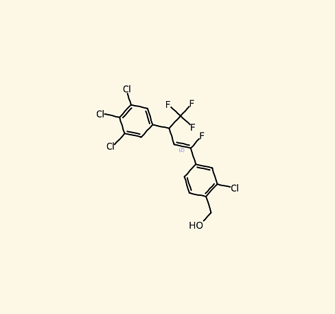 OCc1ccc(/C(F)=C/C(c2cc(Cl)c(Cl)c(Cl)c2)C(F)(F)F)cc1Cl